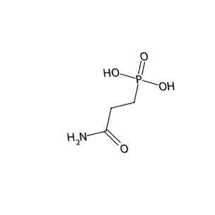 NC(=O)CCP(=O)(O)O